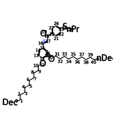 CCCCCCCCCCCCCCCCCCCCOc1ccc(/C=C/C(=O)c2ccc(SCCC)cc2)cc1OCCCCCCCCCCCCCCCCCCCC